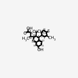 Cc1cc(-c2c(C(C)C)c(C(C)CC(=O)O)nc3cc(O)ccc23)ccc1F